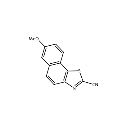 COc1ccc2c(ccc3nc(C#N)sc32)c1